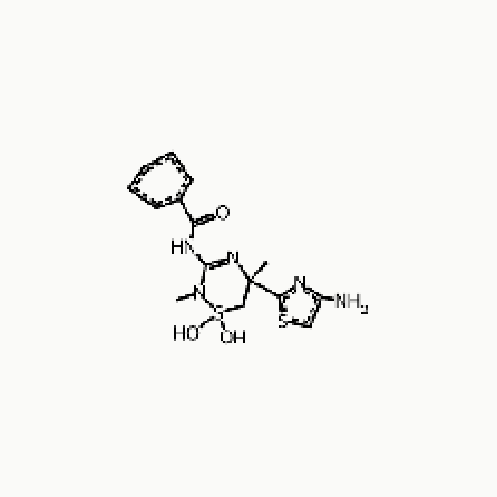 CN1C(NC(=O)c2ccccc2)=N[C@](C)(c2nc(N)cs2)CS1(O)O